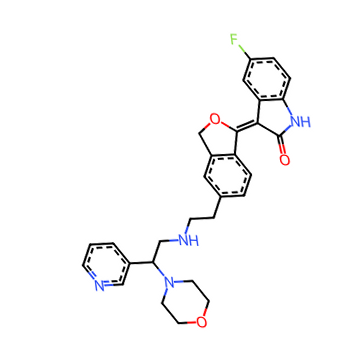 O=C1Nc2ccc(F)cc2C1=C1OCc2cc(CCNCC(c3cccnc3)N3CCOCC3)ccc21